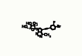 Cc1ncnc2c1c(C#Cc1ccc(Br)c(F)c1)cn2[C@@H]1O[C@H](CO)[C@@H](O)[C@]12CCO2